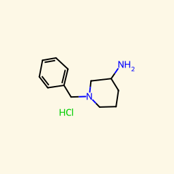 Cl.NC1CCCN(Cc2ccccc2)C1